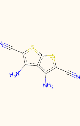 N#Cc1sc2sc(C#N)c(N)c2c1N